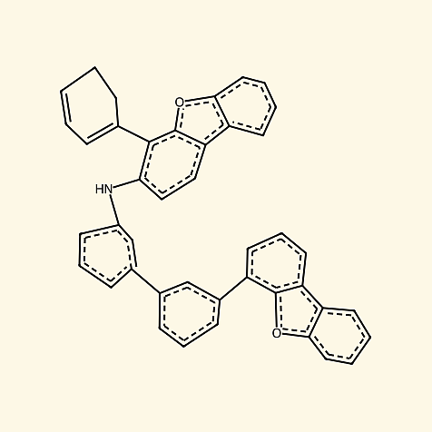 C1=CCCC(c2c(Nc3cccc(-c4cccc(-c5cccc6c5oc5ccccc56)c4)c3)ccc3c2oc2ccccc23)=C1